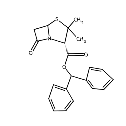 CC1(C)SC2CC(=O)N2[C@H]1C(=O)OC(c1ccccc1)c1ccccc1